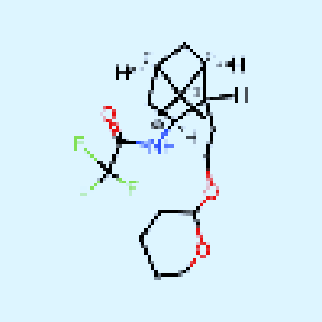 CC1(C)[C@H]2C[C@H](NC(=O)C(F)(F)F)[C@@H](CCOC3CCCCO3)[C@@H]1C2